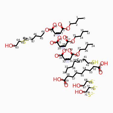 CCCCOC(=O)/C=C\C(=O)[O-].CCCCOC(=O)/C=C\C(=O)[O-].CCCCOC(=O)/C=C\C(=O)[O-].CCC[CH2][Sn+2][CH2]CS.CCC[CH2][Sn+3].O=C(O)CCCCCCCC(=O)O.OCC[S-].OCC[S-].OCC[S-].[S-2]